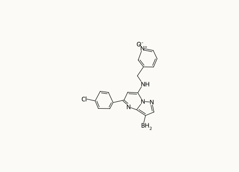 Bc1cnn2c(NCc3ccc[n+]([O-])c3)cc(-c3ccc(Cl)cc3)nc12